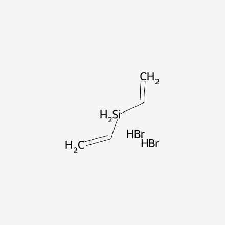 Br.Br.C=C[SiH2]C=C